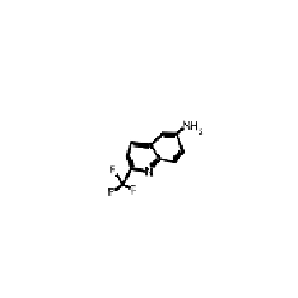 Nc1ccc2nc(C(F)(F)F)ccc2c1